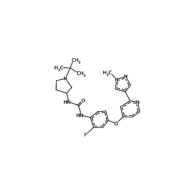 Cn1cc(-c2cc(Oc3ccc(NC(=O)NC4CCN(C(C)(C)C)C4)c(F)c3)ccn2)cn1